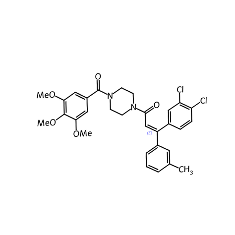 COc1cc(C(=O)N2CCN(C(=O)/C=C(/c3cccc(C)c3)c3ccc(Cl)c(Cl)c3)CC2)cc(OC)c1OC